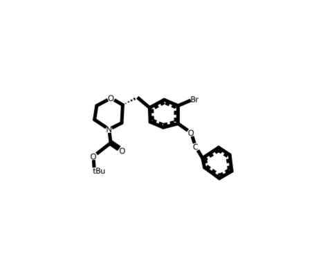 CC(C)(C)OC(=O)N1CCO[C@H](Cc2ccc(OCc3ccccc3)c(Br)c2)C1